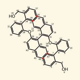 OCc1ccccc1-c1ccccc1Oc1ccc2ccccc2c1-c1c(Oc2ccccc2-c2ccccc2CO)ccc2ccccc12